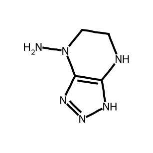 NN1CCNc2[nH]nnc21